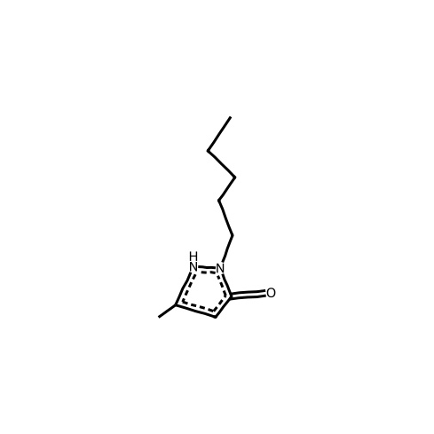 CCCCCn1[nH]c(C)cc1=O